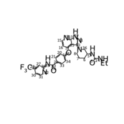 CCNC(=O)N[C@H]1CCCN(c2n[nH]c3nccc(Oc4ccc(C(=O)Nc5cc(C(F)(F)F)ccn5)cc4)c23)C1